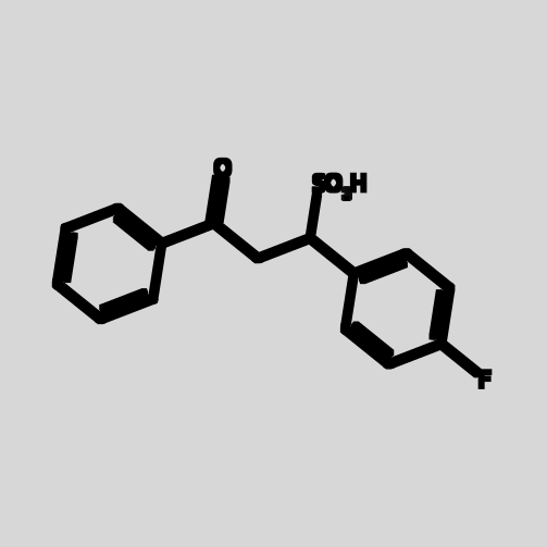 O=C(CC(c1ccc(F)cc1)S(=O)(=O)O)c1ccccc1